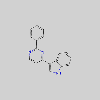 c1ccc(-c2nccc(-c3c[nH]c4ccccc34)n2)cc1